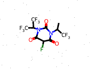 CC(N1C(=O)C(F)C(=O)N(C(C(F)(F)F)C(F)(F)F)C1=O)C(F)(F)F